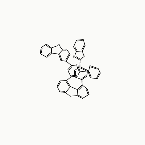 c1ccc(-c2nc(-c3ccc4sc5ccccc5c4c3)nc(-c3cccc4sc5cccc(-c6ccc(-c7nc8ccccc8s7)cc6)c5c34)n2)cc1